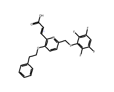 O=C(O)/C=C/c1nc(CSc2c(F)c(F)cc(F)c2F)ccc1OCCc1ccccc1